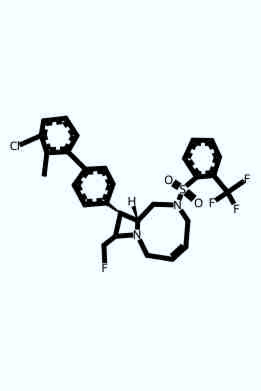 Cc1c(Cl)cccc1-c1ccc([C@@H]2C(CF)N3C/C=C\CN(S(=O)(=O)c4ccccc4C(F)(F)F)C[C@@H]23)cc1